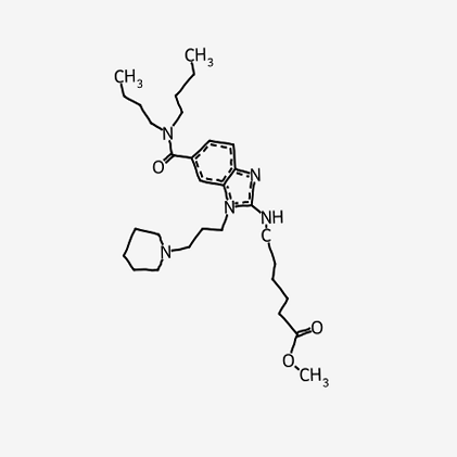 CCCCN(CCCC)C(=O)c1ccc2nc(NCCCCCC(=O)OC)n(CCCN3CCCCC3)c2c1